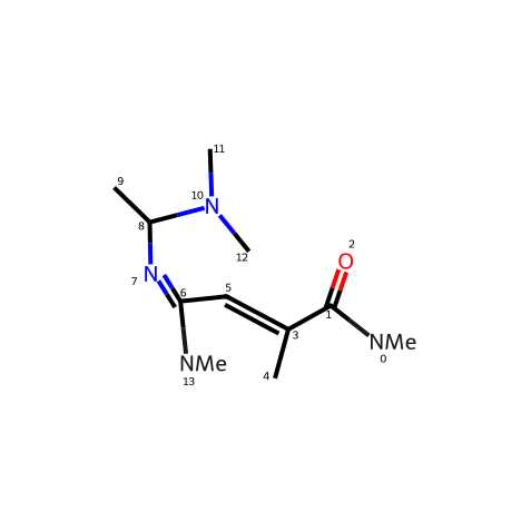 CNC(=O)/C(C)=C/C(=N\C(C)N(C)C)NC